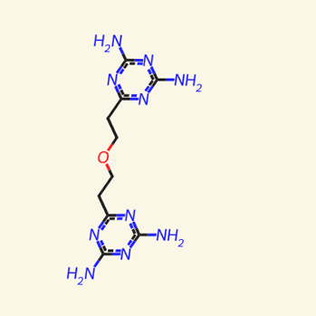 Nc1nc(N)nc(CCOCCc2nc(N)nc(N)n2)n1